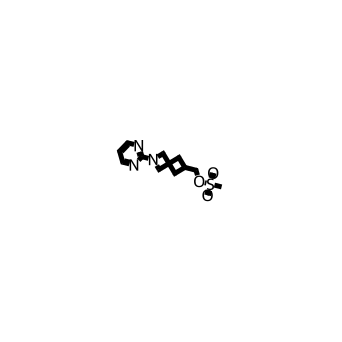 CS(=O)(=O)OCC1CC2(C1)CN(c1ncccn1)C2